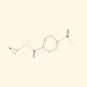 NC(=O)c1ccc(C(=O)NC2CC2)cc1